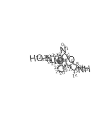 CC/N=c1\cc2oc3cc(NCC)c(C)cc3c(-c3ccccc3C(=O)N3CCN(CCO)CC3)c-2cc1C